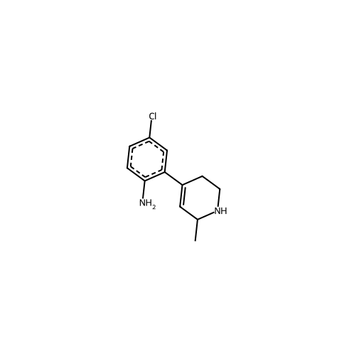 CC1C=C(c2cc(Cl)ccc2N)CCN1